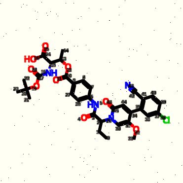 CCC(C(=O)Nc1ccc(C(=O)OC(C)[C@H](NC(=O)OC(C)(C)C)C(=O)O)cc1)n1cc(OC)c(-c2cc(Cl)ccc2C#N)cc1=O